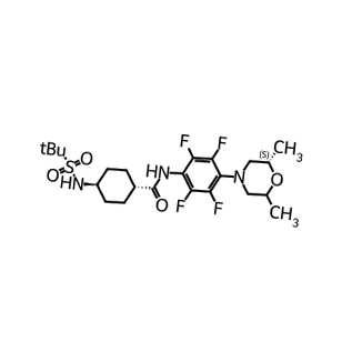 CC1CN(c2c(F)c(F)c(NC(=O)[C@H]3CC[C@H](NS(=O)(=O)C(C)(C)C)CC3)c(F)c2F)C[C@H](C)O1